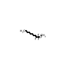 CCCCCCC/C=C(\F)C(F)(F)OC